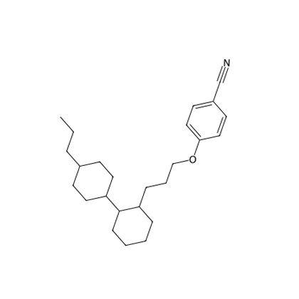 CCCC1CCC(C2CCCCC2CCCOc2ccc(C#N)cc2)CC1